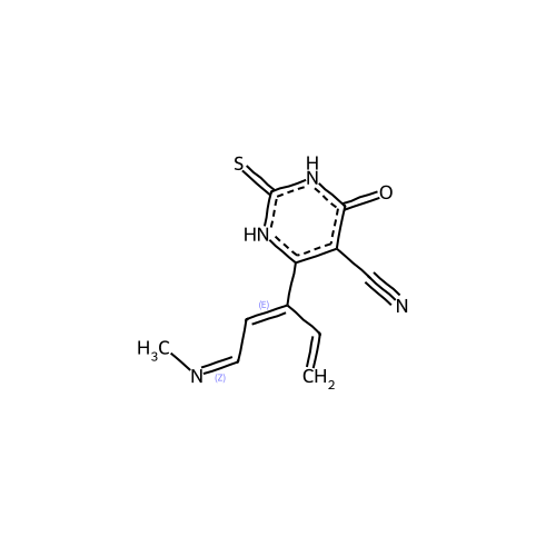 C=C/C(=C\C=N/C)c1[nH]c(=S)[nH]c(=O)c1C#N